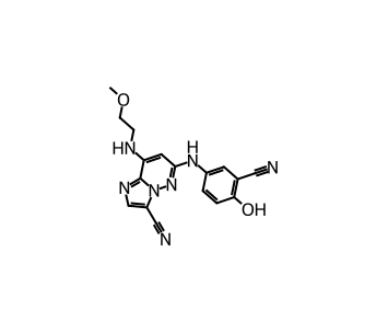 COCCNc1cc(Nc2ccc(O)c(C#N)c2)nn2c(C#N)cnc12